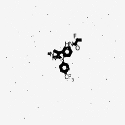 C=C(F)C(=O)Nc1ccc2c(c1)c1cn(C)nc1n2-c1ccc(C(F)(F)F)cc1